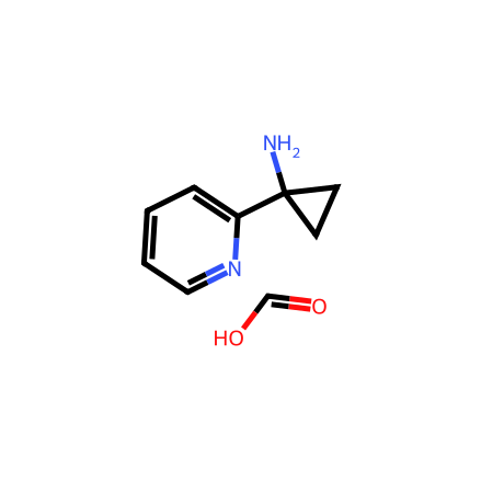 NC1(c2ccccn2)CC1.O=CO